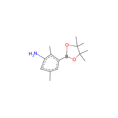 Cc1cc(N)c(C)c(B2OC(C)(C)C(C)(C)O2)c1